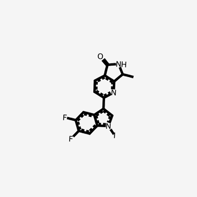 CC1NC(=O)c2ccc(-c3cn(I)c4cc(F)c(F)cc34)nc21